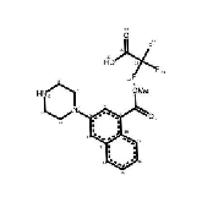 COC(=O)c1cc(N2CCNCC2)cc2ccccc12.O=C(O)C(F)(F)F